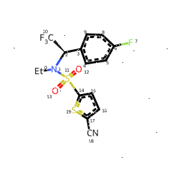 CCN([C@H](c1ccc(F)cc1)C(F)(F)F)S(=O)(=O)c1ccc(C#N)s1